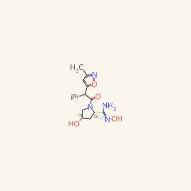 Cc1cc(C(C(=O)N2C[C@H](O)C[C@H]2/C(N)=N/O)C(C)C)on1